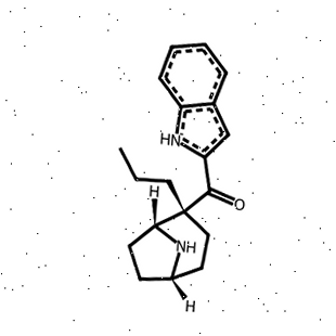 CCC[C@@]1(C(=O)c2cc3ccccc3[nH]2)CC[C@@H]2CC[C@H]1N2